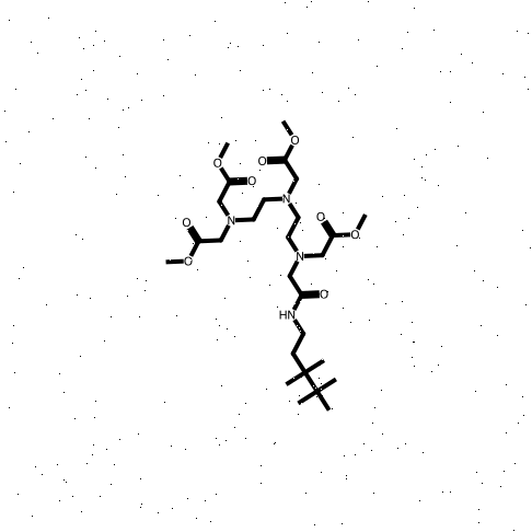 COC(=O)CN(CCN(CC(=O)NCCC(C)(C)C(C)(C)C)CC(=O)OC)CCN(CC(=O)OC)CC(=O)OC